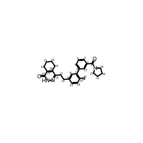 O=C(c1cccc(-c2cc(CCc3n[nH]c(=O)c4c3CCCC4)ccc2F)c1)N1CCCC1